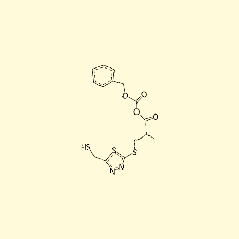 CC(CSc1nnc(CS)s1)C(=O)OC(=O)OCc1ccccc1